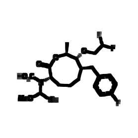 COC(N(C(=O)O)[C@H]1CCC[C@H](Cc2ccc(F)cc2)[C@@H](OCC(F)F)[C@H](C)OC1=O)C(C)(C)C